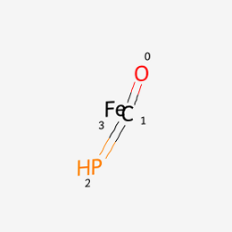 O=C=P.[Fe]